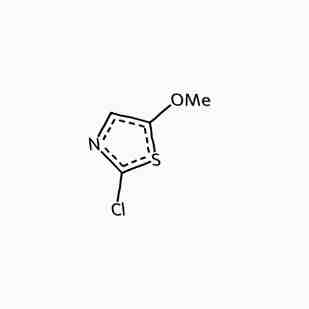 COc1cnc(Cl)s1